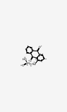 O=C1c2ccccc2C(=O)c2[c]([Na])cccc21.O=[SH](=O)O